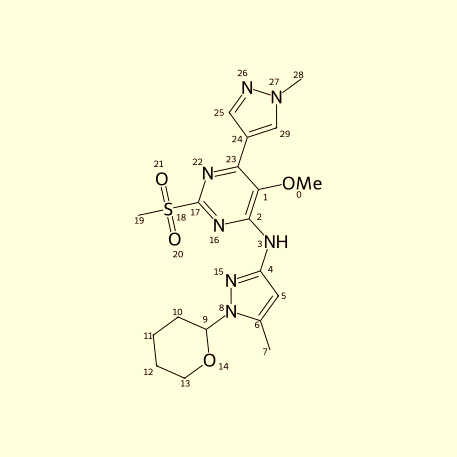 COc1c(Nc2cc(C)n(C3CCCCO3)n2)nc(S(C)(=O)=O)nc1-c1cnn(C)c1